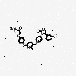 Cc1nc(Sc2ccc(OCC(=O)OC(C)(C)C)cc2)ccc1CN1CCC(N2C(=O)OCC2c2cccc(Cl)c2)CC1